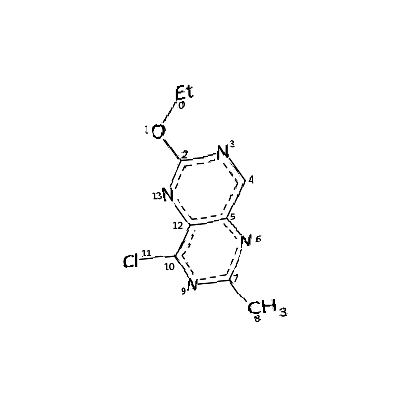 CCOc1ncc2nc(C)nc(Cl)c2n1